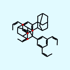 C/C=C\c1cc(/C=C\C)cc(C23CC4CC(CC(C4)C2C2C4CC5CC(C4)CC2(c2cc(/C=C\C)cc(/C=C\C)c2)C5)C3)c1